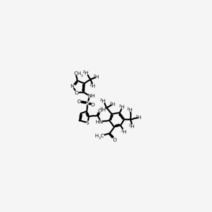 [2H]c1c(C(C)=O)c(NC(=O)c2sccc2S(=O)(=O)Nc2onc(C)c2C([2H])([2H])[2H])c(C([2H])([2H])[2H])c([2H])c1C([2H])([2H])[2H]